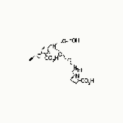 C#CCOc1ccc(CN(CCOCCO)CCOCCOCCN(CC)Cc2cccc(C(=O)O)n2)nc1C(=O)O